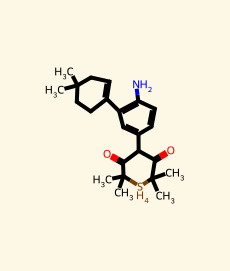 CC1(C)CC=C(c2cc(C3C(=O)C(C)(C)[SH4]C(C)(C)C3=O)ccc2N)CC1